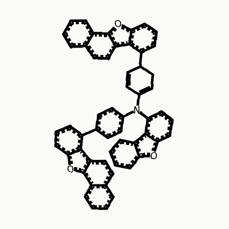 C1=CC(c2cccc3oc4c5ccccc5ccc4c23)CC=C1N(c1ccc(-c2cccc3oc4c5ccccc5ccc4c23)cc1)c1cccc2oc3ccccc3c12